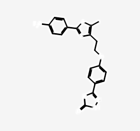 Cc1sc(-c2ccc(C(F)(F)F)cc2)nc1CCOc1ccc(-c2n[nH]c(=O)o2)cc1